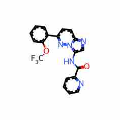 O=C(Nc1cnc2ccc(-c3ccccc3OC(F)(F)F)nn12)c1ccccn1